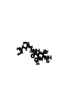 CCN(C)CCN(CC)CCNC(=O)c1cc(Br)c(NC)nc1OC